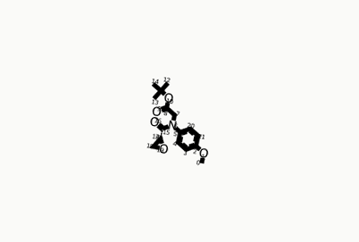 COc1ccc(N(CC(=O)OC(C)(C)C)C(=O)[C@H]2CO2)cc1